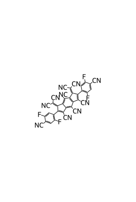 N#CC(C#N)=C1C(c2cc(F)c(C#N)cc2F)=C(C#N)c2c(C#N)c3c(c(C#N)c21)C(=C(C#N)C#N)C(c1cc(F)c(C#N)cc1F)=C3C#N